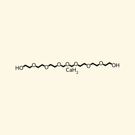 OCCOCCOCCOCOCOCCOCCOCCO.[CaH2]